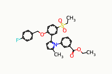 CCOC(=O)c1cccc(-n2c(C)ccc2-c2cc(S(=O)(=O)CC)ccc2OCc2ccc(F)cc2)c1